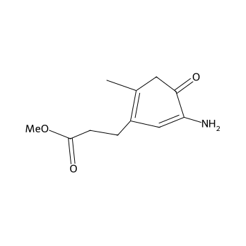 COC(=O)CCC1=C(C)CC(=O)C(N)=C1